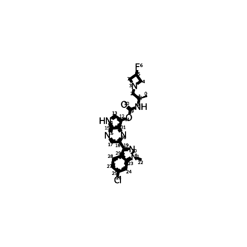 C[C@H](CN1CC(F)C1)NC(=O)Oc1c[nH]c2ncc(-c3nn(C)c4cc(Cl)ccc34)nc12